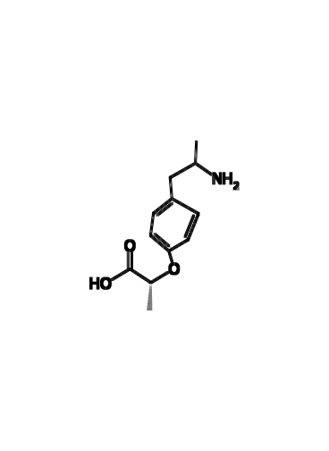 CC(N)Cc1ccc(O[C@H](C)C(=O)O)cc1